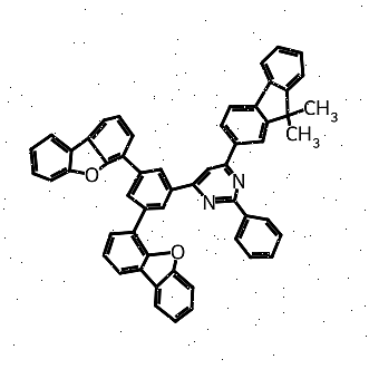 CC1(C)c2ccccc2-c2ccc(-c3cc(-c4cc(-c5cccc6c5oc5ccccc56)cc(-c5cccc6c5oc5ccccc56)c4)nc(-c4ccccc4)n3)cc21